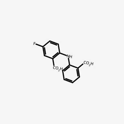 O=C(O)c1ccccc1Nc1ccc(F)cc1C(=O)O